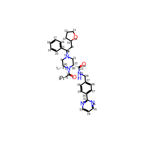 CC(C)C(=O)N1[C@H](C)CN([C@H](CC2CCCO2)c2ccccc2)C[C@@H]1C(=O)NCc1ccc(-c2ncccn2)cc1